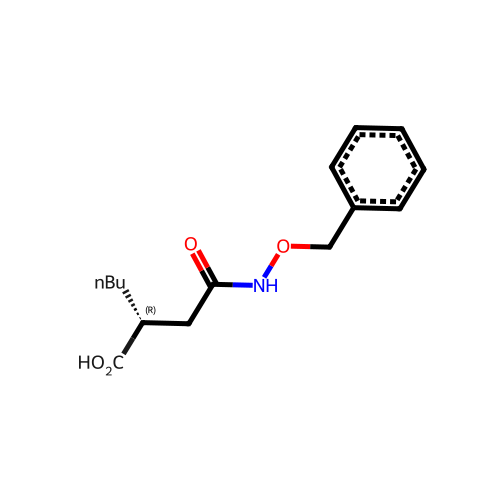 CCCC[C@H](CC(=O)NOCc1ccccc1)C(=O)O